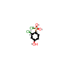 O=S(=O)(Cl)c1ccc(O)cc1Cl